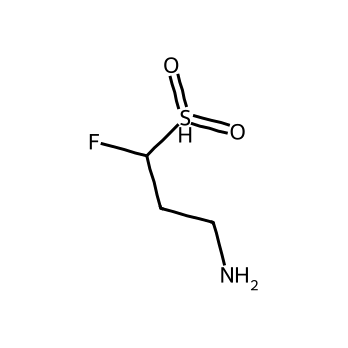 NCCC(F)[SH](=O)=O